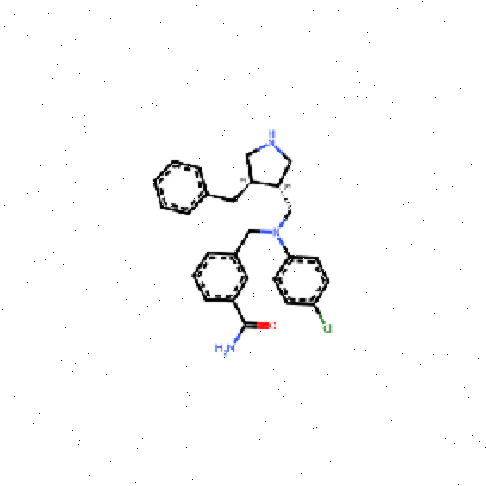 NC(=O)c1cccc(CN(C[C@H]2CNC[C@@H]2Cc2ccccc2)c2ccc(Cl)cc2)c1